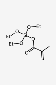 C=C(C)C(=O)O[Si](OCC)(OCC)OCC